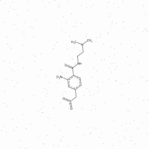 CN(C)CCNC(=O)c1c[c]c(C[SH](=O)=O)cc1[N+](=O)[O-]